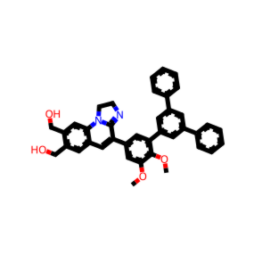 COc1cc(C2=Cc3cc(CO)c(CO)cc3N3CCN=C23)cc(-c2cc(-c3ccccc3)cc(-c3ccccc3)c2)c1OC